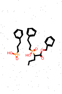 CCCC(C(=O)OCc1ccccc1)P(=O)(O)CCCc1ccccc1.O=[PH](O)CCCc1ccccc1